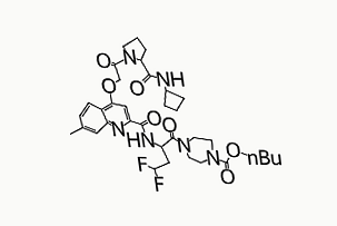 CCCCOC(=O)N1CCN(C(=O)C(CC(F)F)NC(=O)c2cc(OCC(=O)N3CCCC3C(=O)NC3CCC3)c3ccc(C)cc3n2)CC1